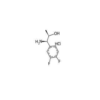 C[C@@H](O)[C@H](N)c1ccc(F)c(F)c1.Cl